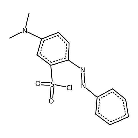 CN(C)c1ccc(N=Nc2ccccc2)c(S(=O)(=O)Cl)c1